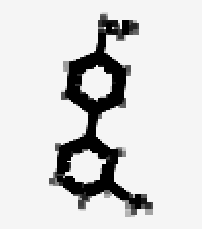 CCOC(=O)c1ccc(-c2cnnc(N)n2)cc1